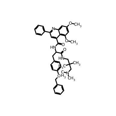 COc1cc(OC)c2c(C(=O)NC(Cc3ccc(OCc4ccccc4)cc3)C(=O)NCC(C)(C)CN(C)C)cc(-c3ccccc3)nc2c1